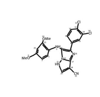 COc1ccc(Nc2c(-c3ccc(Cl)c(Cl)c3)nc3c(C#N)c[nH]n23)c(OC)c1